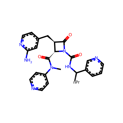 CCCC(NC(=O)N1C(=O)[C@H](Cc2ccnc(N)c2)[C@H]1C(=O)N(C)c1ccncc1)c1cccnc1